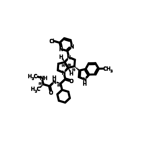 CN[C@@H](C)C(=O)N[C@H](C(=O)N1CC[C@@H]2[C@H]1[C@@H](c1c[nH]c3cc(C)ccc13)CN2c1nccc(Cl)n1)C1CCCCC1